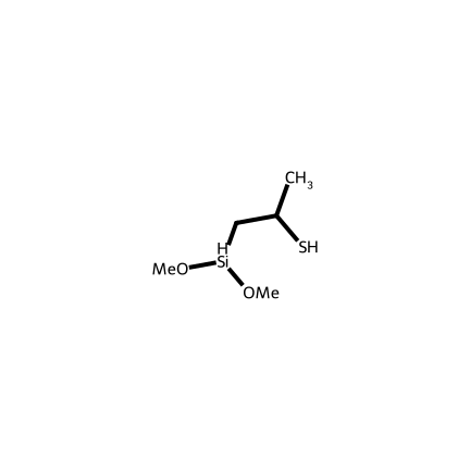 CO[SiH](CC(C)S)OC